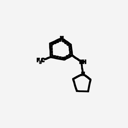 FC(F)(F)c1cncc(NN2CCCC2)c1